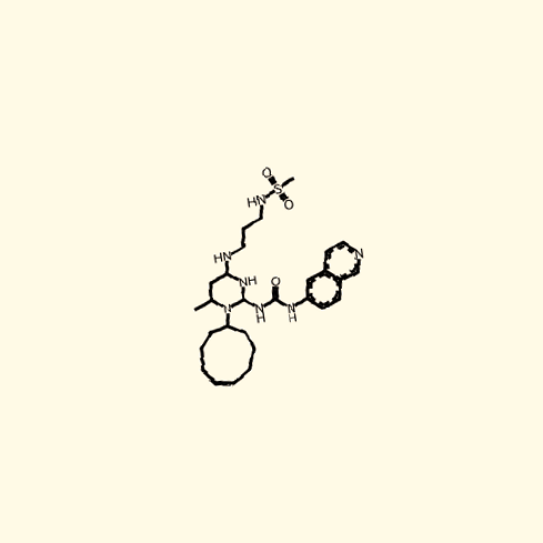 CC1CC(NCCCNS(C)(=O)=O)NC(NC(=O)Nc2ccc3cnccc3c2)N1C1CCCCCCCC1